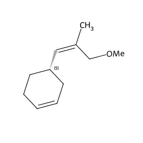 COCC(C)=C[C@@H]1CC=CCC1